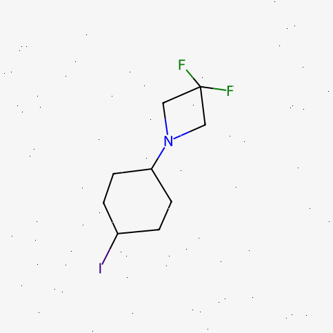 FC1(F)CN(C2CCC(I)CC2)C1